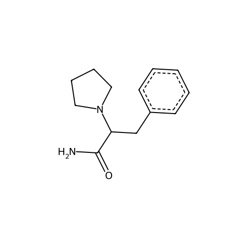 NC(=O)C(Cc1ccccc1)N1CCCC1